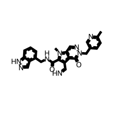 Cc1ccc(Cn2ncc3c(c(C=N)c(C(=O)NCc4cccc5[nH]ncc45)n3C)c2=O)cn1